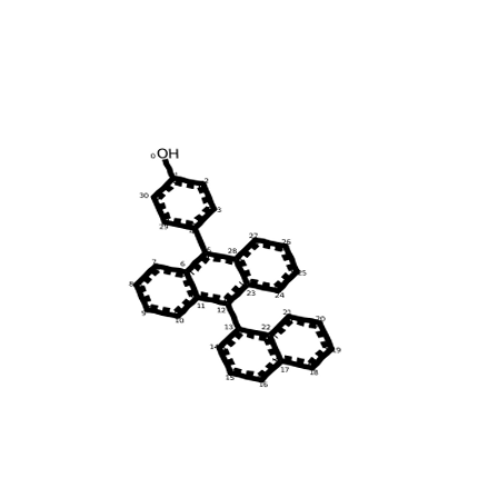 Oc1ccc(-c2c3ccccc3c(-c3cccc4ccccc34)c3ccccc23)cc1